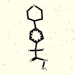 NNC(=O)C(F)(F)c1ccc(C2CCOCC2)cc1